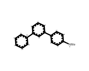 CNc1ccc(-c2cccc(-c3ccccc3)c2)cc1